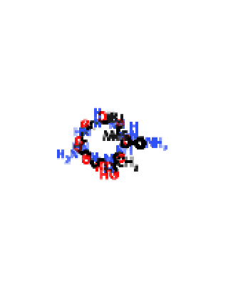 CCC(C)C1NC(=O)CNC(=O)C(Cc2c(SC)[nH]c3cc(N)ccc23)NC(=O)C([C@@H](C)C(O)CO)NC(=O)C2CCCN2C(=O)C(CC(N)=O)NC(=O)CNC(=O)CNC1=O